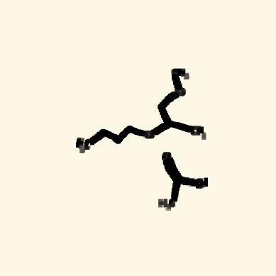 CC(=O)O.CCCCOC(C)COC